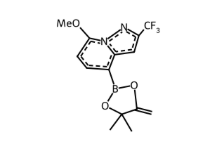 C=C1OB(c2ccc(OC)n3nc(C(F)(F)F)cc23)OC1(C)C